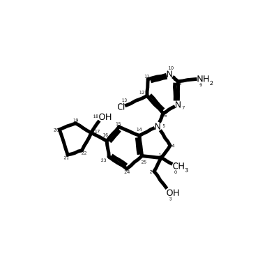 CC1(CO)CN(c2nc(N)ncc2Cl)c2cc(C3(O)CCCC3)ccc21